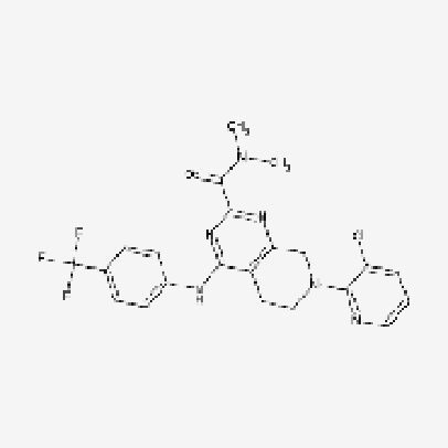 CN(C)C(=O)c1nc2c(c(Nc3ccc(C(F)(F)F)cc3)n1)CCN(c1ncccc1Cl)C2